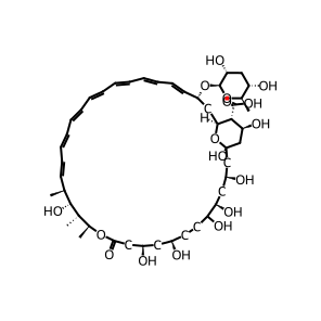 C[C@@H]1[C@H](O)[C@@H](C)/C=C/C=C/C=C/C=C/C=C/C=C/C=C/[C@H](O[C@@H]2O[C@H](C)[C@@H](O)C[C@H]2O)C[C@@H]2O[C@](O)(C[C@@H](O)C[C@@H](O)C(O)CC[C@@H](O)C[C@@H](O)CC(=O)O[C@H]1C)C[C@H](O)[C@H]2C(=O)O